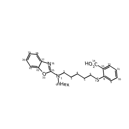 CCCCCCN(CCCCCSc1ccccc1C(=O)O)c1nc2ccccc2o1